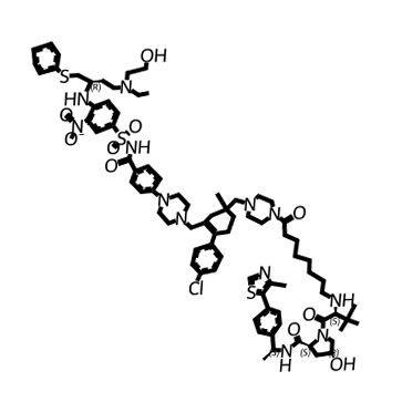 CCN(CCO)CC[C@H](CSc1ccccc1)Nc1ccc(S(=O)(=O)NC(=O)c2ccc(N3CCN(CC4=C(c5ccc(Cl)cc5)CCC(C)(CN5CCN(C(=O)CCCCCCCN[C@H](C(=O)N6C[C@H](O)C[C@H]6C(=O)N[C@@H](C)c6ccc(-c7scnc7C)cc6)C(C)(C)C)CC5)C4)CC3)cc2)cc1[N+](=O)[O-]